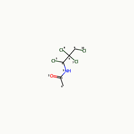 CC(=O)NC(Cl)C(Cl)(Cl)CCl